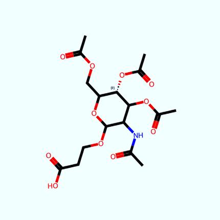 CC(=O)NC1C(OCCC(=O)O)OC(COC(C)=O)[C@H](OC(C)=O)C1OC(C)=O